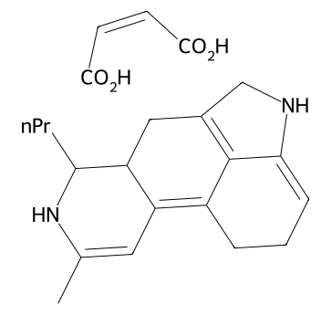 CCCC1NC(C)=CC2=C3CCC=C4NCC(=C43)CC21.O=C(O)/C=C\C(=O)O